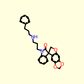 O=C1N(CCCNCCCc2ccccc2)c2ccccc2C12COc1cc3c(cc12)OCO3